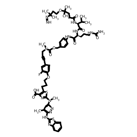 Cc1cc(N(C)c2nc(C(=O)O)c(CCCOc3ccc(C#CCN(C)C(=O)OCc4ccc(NC(=O)[C@H](CCCNC(N)=O)NC(=O)[C@@H](NC(=O)CCC(C)(C)OCCC(C)(C)N=N)C(C)C)cc4)cc3F)s2)nnc1Nc1nc2ccccc2s1